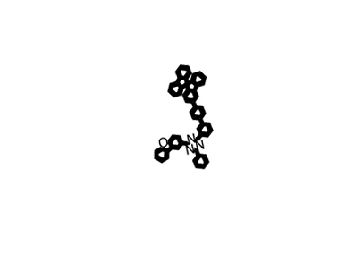 c1ccc(-c2nc(-c3cccc(-c4ccc(-c5ccc6c(c5)-c5ccccc5C65c6ccccc6-c6ccccc65)cc4)c3)nc(-c3ccc4oc5ccccc5c4c3)n2)cc1